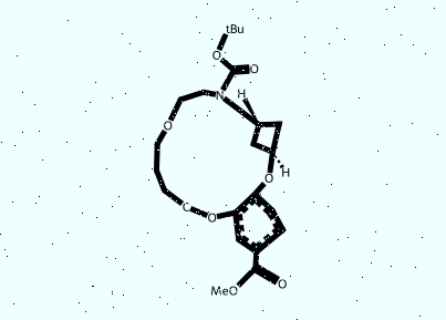 COC(=O)c1ccc2c(c1)OCCCCOCCN(C(=O)OC(C)(C)C)[C@H]1C[C@@H](C1)O2